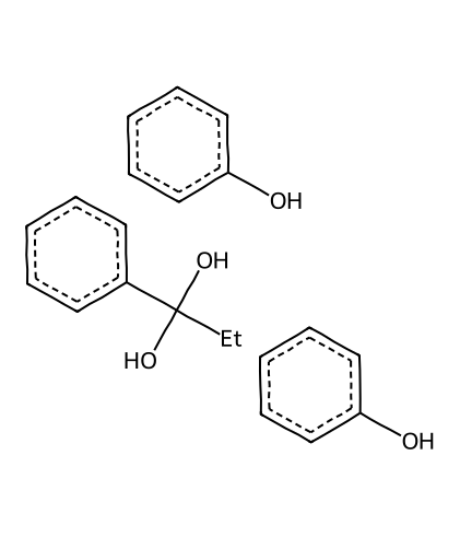 CCC(O)(O)c1ccccc1.Oc1ccccc1.Oc1ccccc1